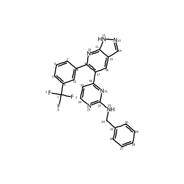 FC(F)(F)c1cccc(-c2nc3[nH]ncc3cc2-c2ccnc(NCc3ccccc3)n2)c1